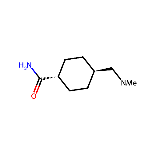 CNC[C@H]1CC[C@H](C(N)=O)CC1